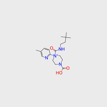 Cc1ccc([N+]2(C(=O)NCCC(C)(C)C)CCN(C(=O)O)CC2)nc1